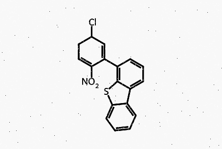 O=[N+]([O-])C1=CCC(Cl)C=C1c1cccc2c1sc1ccccc12